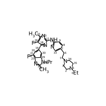 CCN1CCN(CCc2ccc(Nc3nc(C)c(F)c(-c4cc(F)c5nc(C)n(C(C)C)c5c4)n3)nc2)CC1